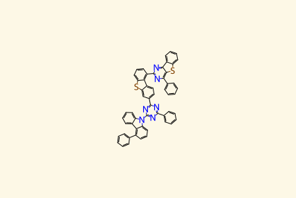 c1ccc(-c2nc(-c3ccc4c(c3)sc3cccc(-c5nc(-c6ccccc6)c6sc7ccccc7c6n5)c34)nc(-n3c4ccccc4c4c(-c5ccccc5)cccc43)n2)cc1